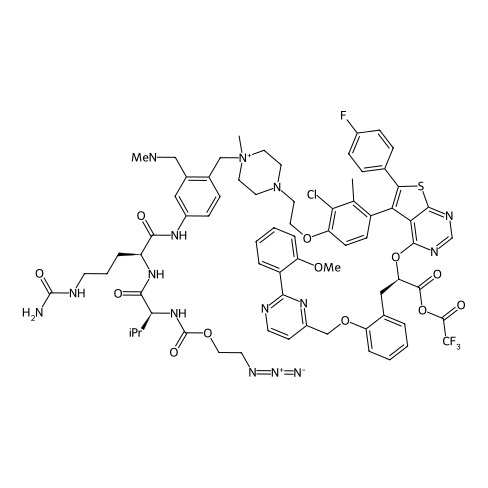 CNCc1cc(NC(=O)[C@H](CCCNC(N)=O)NC(=O)[C@@H](NC(=O)OCCN=[N+]=[N-])C(C)C)ccc1C[N+]1(C)CCN(CCOc2ccc(-c3c(-c4ccc(F)cc4)sc4ncnc(O[C@H](Cc5ccccc5OCc5ccnc(-c6ccccc6OC)n5)C(=O)OC(=O)C(F)(F)F)c34)c(C)c2Cl)CC1